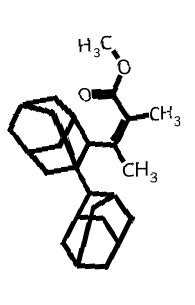 COC(=O)C(C)=C(C)C1C2CC3CC(C2)CC1(C1C2CC4CC(C2)CC1C4)C3